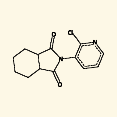 O=C1C2CCCCC2C(=O)N1c1cccnc1Cl